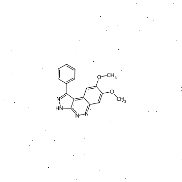 COc1cc2nnc3[nH]nc(-c4ccccc4)c3c2cc1OC